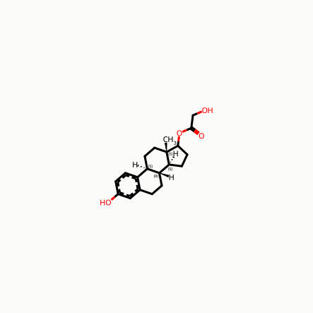 C[C@]12CC[C@@H]3c4ccc(O)cc4CC[C@H]3[C@@H]1CCC2OC(=O)CO